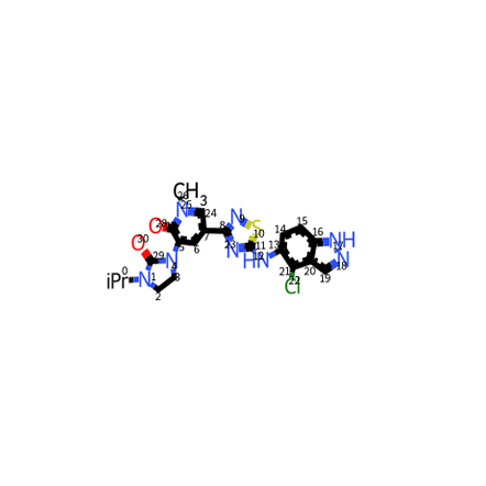 CC(C)N1CCN(c2cc(-c3nsc(Nc4ccc5[nH]ncc5c4Cl)n3)cn(C)c2=O)C1=O